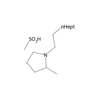 CCCCCCCCCN1CCCC1C.CS(=O)(=O)O